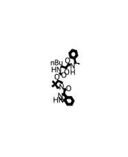 CCCC[C@H](NC(=O)O[C@@H]1CN(C(=O)c2n[nH]c3ccccc23)CC1(C)C)C(=O)C(=O)N[C@H](C)c1ccccc1